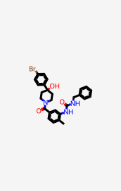 Cc1ccc(C(=O)N2CCC(O)(c3ccc(Br)cc3)CC2)cc1NC(=O)NCc1ccccc1